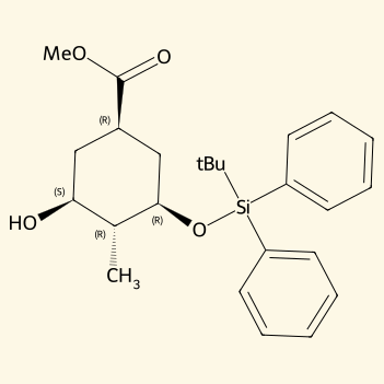 COC(=O)[C@@H]1C[C@H](O)[C@@H](C)[C@H](O[Si](c2ccccc2)(c2ccccc2)C(C)(C)C)C1